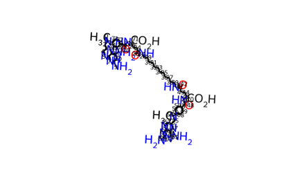 CN(Cc1cnc2nc(N)nc(N)c2n1)c1ccc(C(=O)N[C@@H](CCC(=O)NCCCCCCCCCCCCNC(=O)CC[C@H](NC(=O)c2ccc(N(C)Cc3cnc4nc(N)nc(N)c4n3)cc2)C(=O)O)C(=O)O)cc1